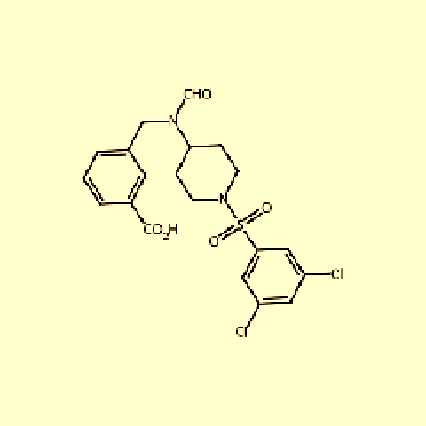 O=CN(Cc1cccc(C(=O)O)c1)C1CCN(S(=O)(=O)c2cc(Cl)cc(Cl)c2)CC1